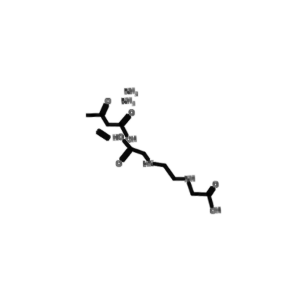 C=C.CC(=O)CC(=O)O.N.N.O=C(O)CNCCNCC(=O)O